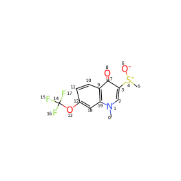 Cn1cc([S+](C)[O-])c(=O)c2ccc(OC(F)(F)F)cc21